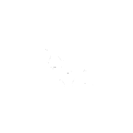 CC(N)c1cccc(-c2ccc(N)nn2)c1